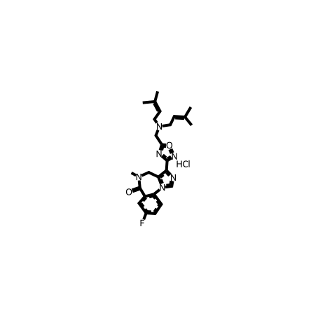 CC(C)=CCN(CC=C(C)C)Cc1nc(-c2ncn3c2CN(C)C(=O)c2cc(F)ccc2-3)no1.Cl